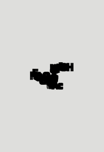 CC(=O)N1c2ccc(-c3cnn(CC(C)(C)O)c3)cc2N(C(=O)OC2CCC(F)(F)CC2)C[C@@H]1C